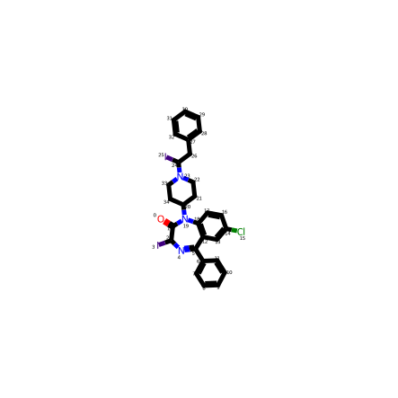 O=C1C(I)N=C(c2ccccc2)c2cc(Cl)ccc2N1C1CCN(C(I)Cc2ccccc2)CC1